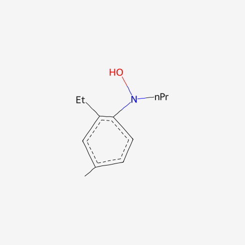 CCCN(O)c1ccc(C)cc1CC